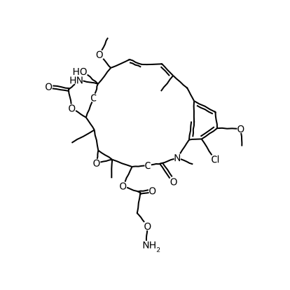 COc1cc2cc(c1Cl)N(C)C(=O)CC(OC(=O)CON)C1(C)OC1C(C)C1CC(O)(NC(=O)O1)C(OC)/C=C/C=C(\C)C2